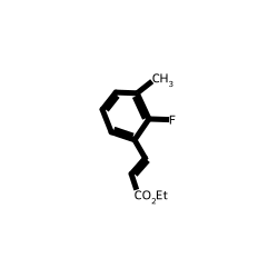 CCOC(=O)/C=C/c1cccc(C)c1F